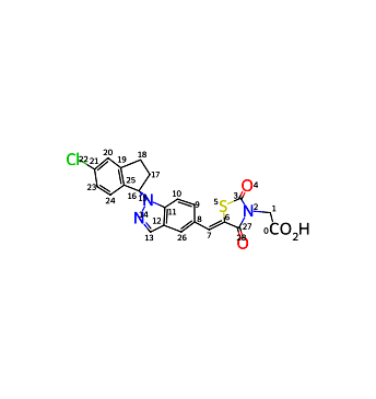 O=C(O)CN1C(=O)S/C(=C\c2ccc3c(cnn3[C@@H]3CCc4cc(Cl)ccc43)c2)C1=O